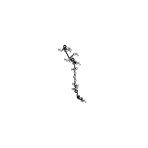 CCCC[N+]1=C(/C=C/C=C/C=C/C=C2/N(C)c3ccccc3C2(C)C)C(C)(C)c2cc(S(=O)(=O)N(C)CCCC(=O)NCCOCCOCCOCCC(=O)NCC(=O)Nc3ccc(CC[N+]45CC[N+](CC(N)=O)(CC4)CC5)cc3)ccc21